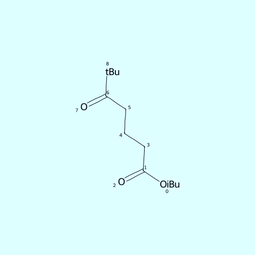 CC(C)COC(=O)CCCC(=O)C(C)(C)C